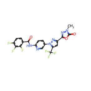 Cn1nc(-c2cc(C(F)(F)F)n(-c3ccc(NC(=O)c4ccc(F)c(F)c4F)nc3)n2)oc1=O